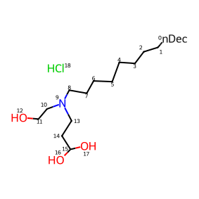 CCCCCCCCCCCCCCCCCCN(CCO)CCC(O)O.Cl